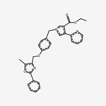 CCOC(=O)c1cn(Cc2ccc(OCc3nc(-c4ccccc4)oc3C)cc2)cc1-c1ccccn1